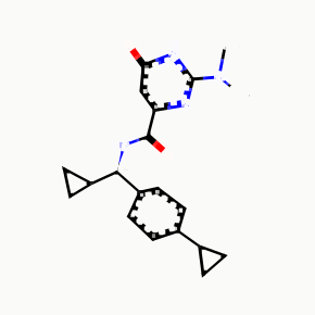 CN(C)c1nc(C(=O)N[C@@H](c2ccc(C3CC3)cc2)C2CC2)cc(=O)[nH]1